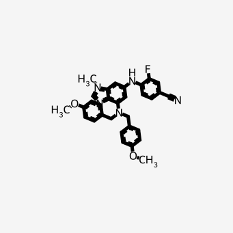 COc1ccc(CN(Cc2ccc(OC)cc2)c2cc(Nc3ccc(C#N)cc3F)cc3c2ncn3C)cc1